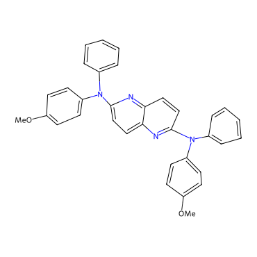 COc1ccc(N(c2ccccc2)c2ccc3nc(N(c4ccccc4)c4ccc(OC)cc4)ccc3n2)cc1